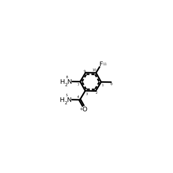 Cc1cc(C(N)=O)c(N)cc1F